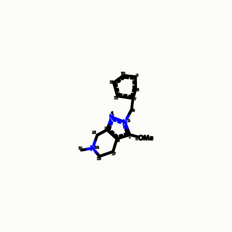 COc1c2c(nn1Cc1ccccc1)CN(C)CC2